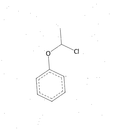 CC(Cl)Oc1[c]cccc1